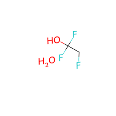 O.OC(F)(F)CF